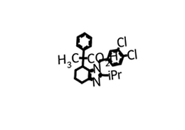 CC(C)c1nc2c(n1Cc1ccc(Cl)c(Cl)c1)C(C(C)(C(=O)O)c1ccccc1)CCC2